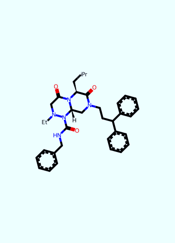 CCN1CC(=O)N2[C@@H](CC(C)C)C(=O)N(CCC(c3ccccc3)c3ccccc3)C[C@@H]2N1C(=O)NCc1ccccc1